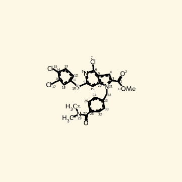 COC(=O)c1cc2c(Cl)nc(Sc3ccc(Cl)c(Cl)c3)cc2n1Cc1ccc(C(=O)N(C)C)cc1